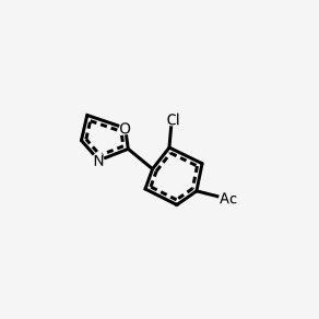 CC(=O)c1ccc(-c2ncco2)c(Cl)c1